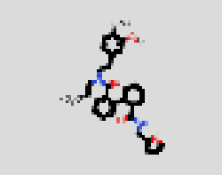 CCOc1cc(CCN(CCC(=O)O)C(=O)c2ccccc2-c2ccccc2C(=O)NCc2ccco2)ccc1OC